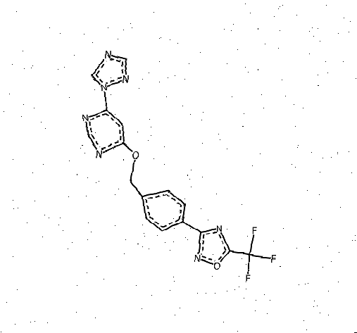 FC(F)(F)c1nc(-c2ccc(COc3cc(-n4cncn4)ncn3)cc2)no1